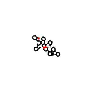 CC1(C)c2ccccc2-c2ccc(N(c3ccccc3-c3cccc4c3-c3ccccc3C43c4ccc5ccccc5c4Oc4c3ccc3ccccc43)c3cccc4oc5ccccc5c34)cc21